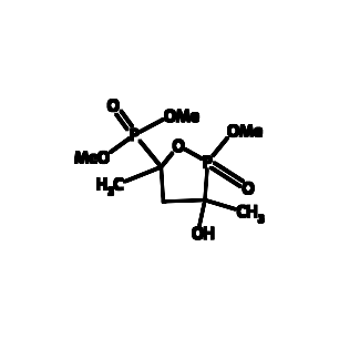 COP1(=O)OC(C)(P(=O)(OC)OC)CC1(C)O